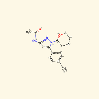 CC(=O)Nc1cc(-c2ccc(C)cc2)n(C2CCCCO2)n1